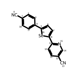 N#Cc1ccc(-c2ccc(-c3ccc(C#N)cn3)[se]2)cc1